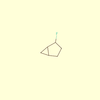 FC1CCC2CC12